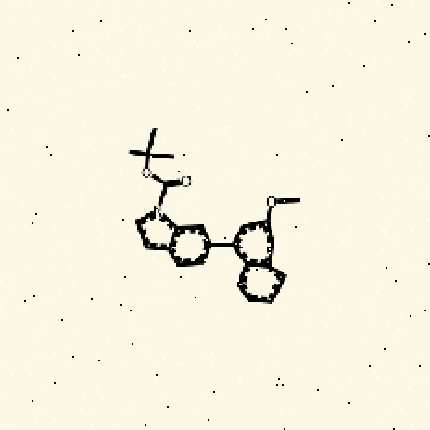 COc1cc(-c2ccc3ccn(C(=O)OC(C)(C)C)c3c2)c2ccccc2c1